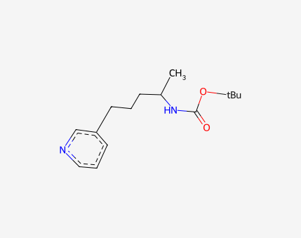 CC(CCCc1cccnc1)NC(=O)OC(C)(C)C